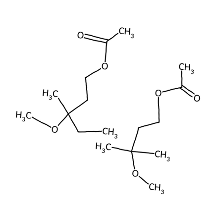 CCC(C)(CCOC(C)=O)OC.COC(C)(C)CCOC(C)=O